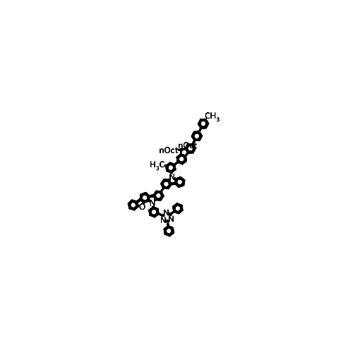 CCCCCCCCC1(CCCCCCCC)c2cc(-c3ccc(-c4ccc(C)cc4)cc3)ccc2-c2ccc(-c3cc(C)cc(-n4c5ccccc5c5cc(-c6ccc7c(c6)c6ccc8c9ccccc9oc8c6n7-c6cccc(-c7nc(-c8ccccc8)nc(-c8ccccc8)n7)c6)ccc54)c3)cc21